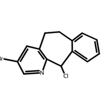 ClC1c2ccccc2CCc2cc(Br)cnc21